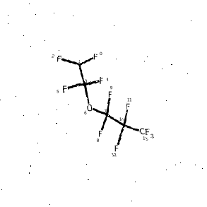 FC(F)C(F)(F)OC(F)(F)C(F)(F)C(F)(F)F